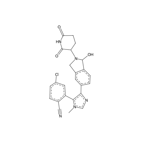 Cn1cnc(-c2ccc3c(c2)CN(C2CCC(=O)NC2=O)C3O)c1-c1cc(Cl)ccc1C#N